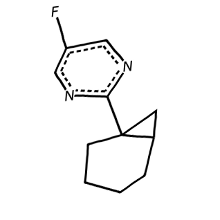 Fc1cnc(C23CCCCC2C3)nc1